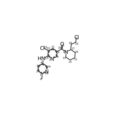 Cc1ccc(Nc2ncc(C(=O)N3CCCCC3CCCl)cc2Cl)cn1